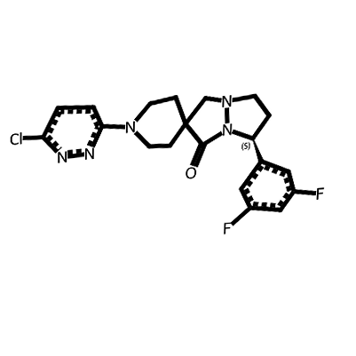 O=C1N2[C@H](c3cc(F)cc(F)c3)CCN2CC12CCN(c1ccc(Cl)nn1)CC2